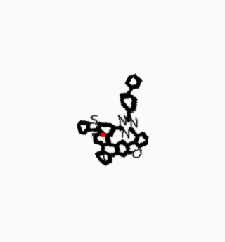 Clc1cc2oc3cccc(-c4nc(-c5ccc(-c6ccccc6)cc5)nc(-c5ccc6c(c5)sc5ccccc56)n4)c3c2cc1-c1ccccc1-c1ccccc1